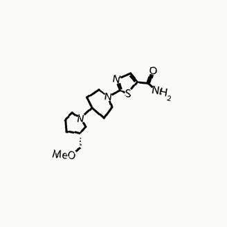 COC[C@@H]1CCCN(C2CCN(c3ncc(C(N)=O)s3)CC2)C1